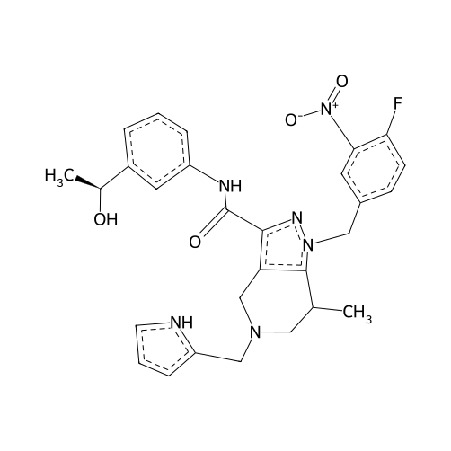 CC1CN(Cc2ccc[nH]2)Cc2c(C(=O)Nc3cccc([C@H](C)O)c3)nn(Cc3ccc(F)c([N+](=O)[O-])c3)c21